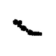 CNc1ccc(/C=C/C2=CCN(CCSC(=O)c3ccccc3)C=C2)cc1